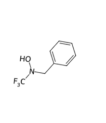 ON(Cc1ccccc1)C(F)(F)F